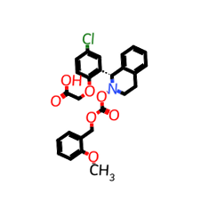 COc1ccccc1COC(=O)ON1CCc2ccccc2[C@H]1c1cc(Cl)ccc1OCC(=O)O